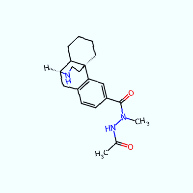 CC(=O)NN(C)C(=O)c1ccc2c(c1)[C@]13CCCCC1[C@H](C2)NCC3